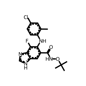 Cc1cc(Cl)ccc1Nc1c(C(=O)NOC(C)(C)C)cc2[nH]cnc2c1F